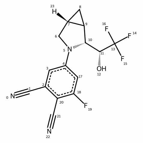 N#Cc1cc(N2C[C@@H]3CC3[C@@H]2[C@@H](O)C(F)(F)F)cc(F)c1C#N